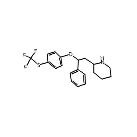 FC(F)(F)Sc1ccc(OC(CC2CCCCN2)c2ccccc2)cc1